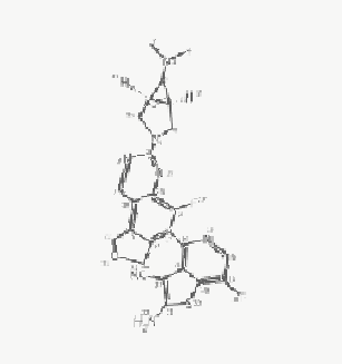 CN(C)C1[C@H]2CN(c3ncc4c5c(c(-c6ncc(F)c7sc(N)c(C#N)c67)c(F)c4n3)COC5)C[C@@H]12